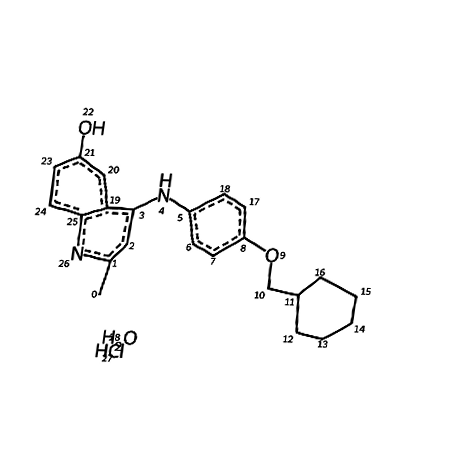 Cc1cc(Nc2ccc(OCC3CCCCC3)cc2)c2cc(O)ccc2n1.Cl.O